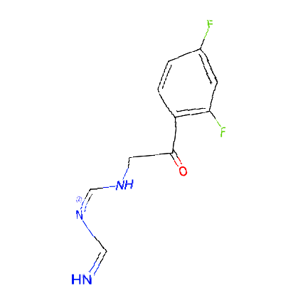 N=C/N=C\NCC(=O)c1ccc(F)cc1F